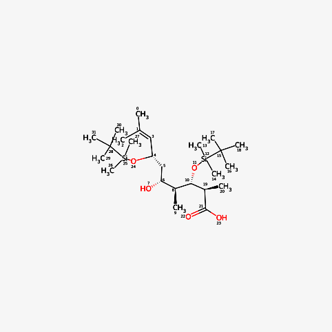 CC(C)=C[C@H](C[C@@H](O)[C@H](C)[C@H](O[Si](C)(C)C(C)(C)C)[C@@H](C)C(=O)O)O[Si](C)(C)C(C)(C)C